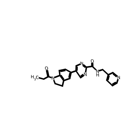 CCC(=O)N1CCc2cc(-c3cnc(C(=O)NCc4cccnc4)nc3)ccc21